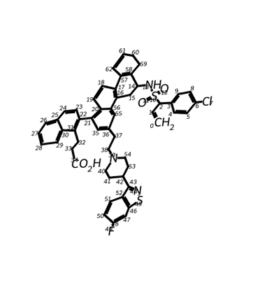 C=CC(c1ccc(Cl)cc1)S(=O)(=O)NC1Cc2c(ccc3c(-c4ccc5ccccc5c4CCC(=O)O)cc(CCN4CCC(c5nsc6cc(F)ccc56)CC4)cc23)C2=C1CCC=C2